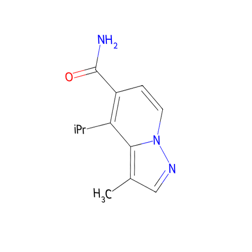 Cc1cnn2ccc(C(N)=O)c(C(C)C)c12